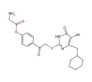 CC(C)c1c(CC2CCCCC2)nc(SCC(=O)c2ccc(OC(=O)CN)cc2)[nH]c1=O